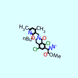 CCCCOc1nc(C)cc(C)c1CN1CCc2c(Cl)cc(C(=[N+]=[N-])C(=O)OC)c(Cl)c2C1=O